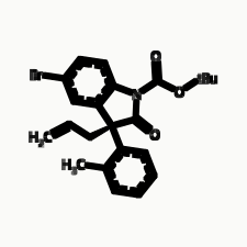 C=CC[C@]1(c2ccccc2C)C(=O)N(C(=O)OC(C)(C)C)c2ccc(Br)cc21